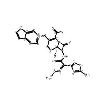 CO/N=C(\C(=O)NC1C(=O)N2C(C(=O)[O-])=C(C[n+]3ccc4ccsc4c3)CS[C@H]12)c1noc(N)n1